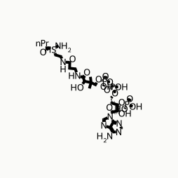 CCCC(=O)[SH](N)CCNC(=O)CCNC(=O)C(O)C(C)(C)COP(=O)(O)OP(=O)(O)OC[C@H]1O[C@@H](n2cnc3c(N)ncnc32)[C@H](O)[C@@H]1OP(=O)(O)O